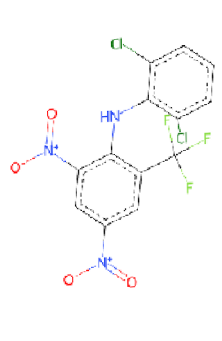 O=[N+]([O-])c1cc([N+](=O)[O-])c(Nc2c(Cl)cccc2Cl)c(C(F)(F)F)c1